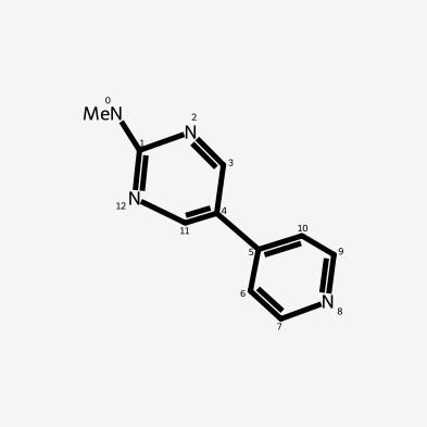 CNc1ncc(-c2ccncc2)cn1